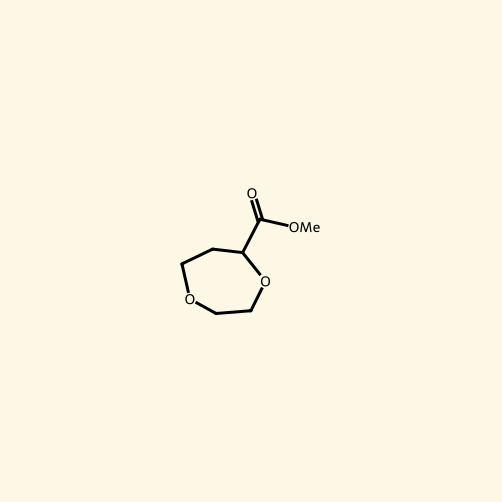 COC(=O)C1CCOCCO1